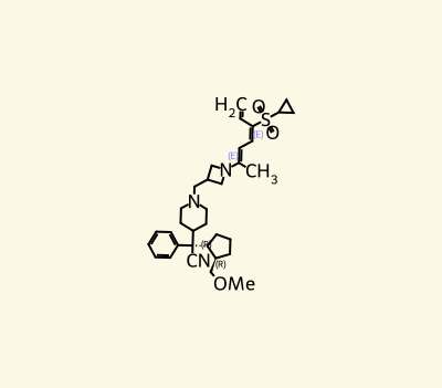 C=C/C(=C\C=C(/C)N1CC(CN2CCC(C(C#N)(c3ccccc3)[C@@H]3CCC[C@H]3COC)CC2)C1)S(=O)(=O)C1CC1